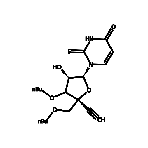 C#C[C@]1(COCCCC)O[C@@H](n2ccc(=O)[nH]c2=S)[C@@H](O)C1OCCCC